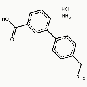 Cl.N.NCc1ccc(-c2cccc(C(=O)O)c2)cc1